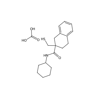 O=C(NC1CCCCC1)C1(CS)CCc2ccccc2C1.O=C(O)O